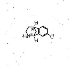 Clc1ccc2c(c1)[C@H]1C[C@H]2CCN1